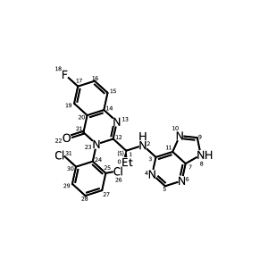 CC[C@H](Nc1ncnc2[nH]cnc12)c1nc2ccc(F)cc2c(=O)n1-c1c(Cl)cccc1Cl